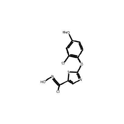 COc1ccc(Oc2ncc(C(Cl)=NO)s2)c(Cl)c1